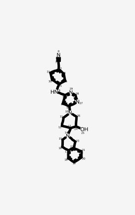 N#Cc1ccc(Nc2cc(N3CCC(N4CCc5ccccc5C4)C(O)C3)ncn2)cc1